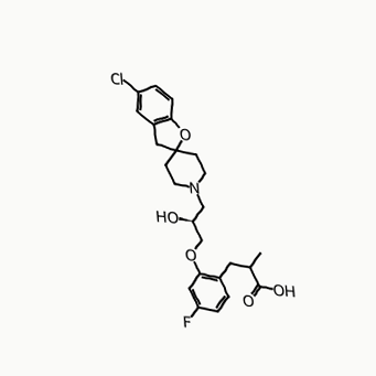 CC(Cc1ccc(F)cc1OC[C@@H](O)CN1CCC2(CC1)Cc1cc(Cl)ccc1O2)C(=O)O